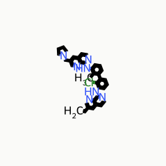 C=Cc1cnc2c(Nc3cccc(-c4cccc(Nc5nccc6cc(CN7CCCC7)cnc56)c4C)c3Cl)nccc2c1